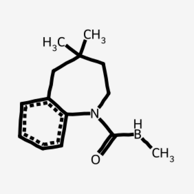 CBC(=O)N1CCC(C)(C)Cc2ccccc21